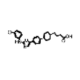 O=C(O)CCC[C@H]1CC[C@@H](c2ccc(-c3cnc(Nc4cccc(Cl)c4)o3)cc2)CC1